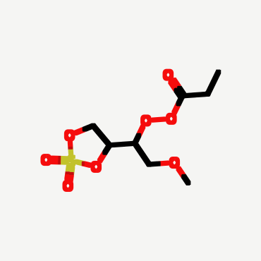 CCC(=O)OOC(COC)C1COS(=O)(=O)O1